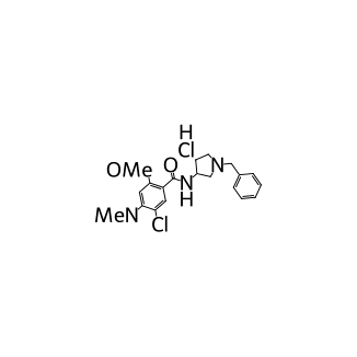 CNc1cc(OC)c(C(=O)NC2CCN(Cc3ccccc3)C2)cc1Cl.Cl